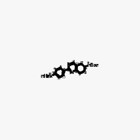 CCCCCCCCCCC1CCc2nc(-c3ccc(CCCCCC)cc3)ncc2C1